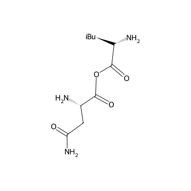 CC[C@H](C)[C@H](N)C(=O)OC(=O)[C@@H](N)CC(N)=O